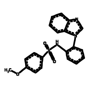 COc1ccc(S(=O)(=O)Nc2ccccc2-n2cnc3ccccc32)cc1